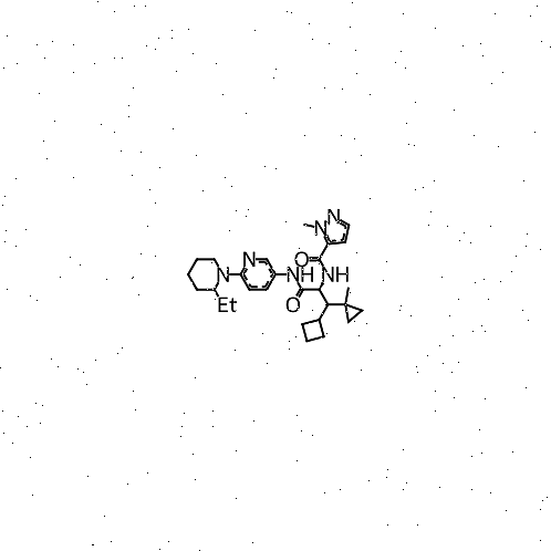 CCC1CCCCN1c1ccc(NC(=O)[C@@H](NC(=O)c2ccnn2C)C(C2CCC2)C2(C)CC2)cn1